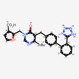 CCCCc1ncn(Cc2occc2C(=O)O)c(=O)c1Cc1ccc(-c2ccccc2-c2nnn[nH]2)cc1